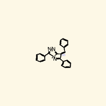 C(/c1ccccc1)=c1\c(-c2ccccc2)nn2c(-c3ccccc3)nnc12